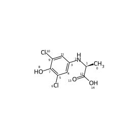 C[C@H](Nc1cc(Cl)c(O)c(Cl)c1)C(=O)O